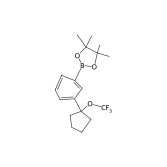 CC1(C)OB(c2cccc(C3(OC(F)(F)F)CCCC3)c2)OC1(C)C